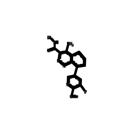 CCNC(=O)c1nnc2c(-c3cnc(OC)c(F)c3)cccc2c1N